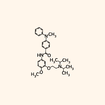 COc1ccc(NC(=O)c2ccc(N(C)c3ccccc3)cc2)cc1OCCN(C(C)C)C(C)C